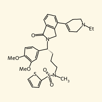 CCN1CC=C(c2cccc3c2CN([C@H](CCCN(C)S(=O)(=O)c2cccs2)c2ccc(OC)c(OC)c2)C3=O)CC1